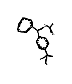 CC(=O)OC(c1ccccc1)c1ccc(C(C)(C)C)cc1